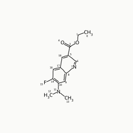 CCOC(=O)c1cnc2cc(N(C)C)c(F)cc2c1